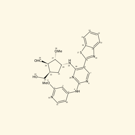 COc1cc(Nc2ncc(-c3nc4ccccc4s3)c(N[C@@H]3C[C@@H](CO)[C@@H](C=O)[C@@H]3OC)n2)ccn1